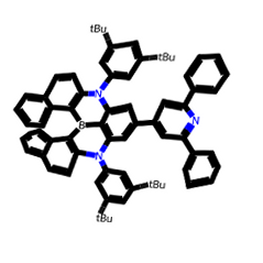 CC(C)(C)c1cc(N2c3cc(-c4cc(-c5ccccc5)nc(-c5ccccc5)c4)cc4c3B(c3c2ccc2ccccc32)c2c(ccc3ccccc23)N4c2cc(C(C)(C)C)cc(C(C)(C)C)c2)cc(C(C)(C)C)c1